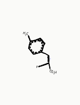 Cc1ccc(/C=C(\F)C(=O)O)cc1